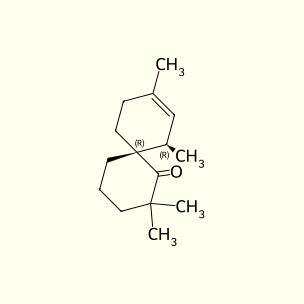 CC1=C[C@@H](C)[C@@]2(CCCC(C)(C)C2=O)CC1